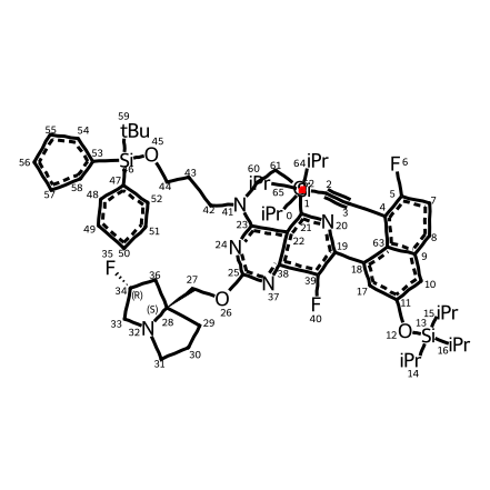 CC(C)[Si](C#Cc1c(F)ccc2cc(O[Si](C(C)C)(C(C)C)C(C)C)cc(-c3nc4c5c(nc(OC[C@@]67CCCN6C[C@H](F)C7)nc5c3F)N(CCCO[Si](c3ccccc3)(c3ccccc3)C(C)(C)C)CCO4)c12)(C(C)C)C(C)C